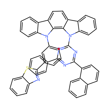 c1ccc(-c2nc(-c3cccc4ccccc34)nc(-n3c4ccccc4c4ccc5c6ccccc6n(-c6cccc(-c7nc8ccccc8s7)c6)c5c43)n2)cc1